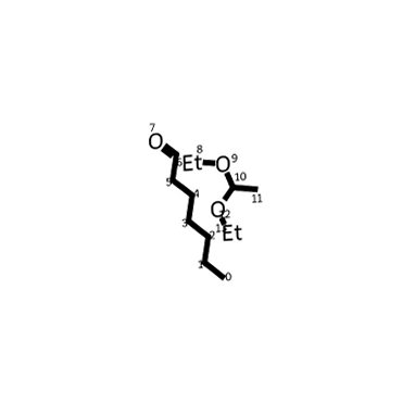 CCCCCCC=O.CCOC(C)OCC